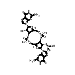 Nc1nc2c(ncn2[C@@H]2O[C@@H]3COP(=O)(O)OC4[C@@H](COP(=O)(O)OC3[C@@H]2O)O[C@@H](n2cnc3c(=O)[nH]c(N)nc32)[C@H]4OP(O)O)c(=O)[nH]1